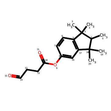 CC1C(C)(C)c2ccc(OC(=O)CCC=O)cc2C1(C)C